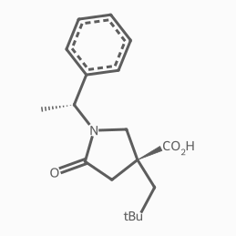 C[C@H](c1ccccc1)N1C[C@@](CC(C)(C)C)(C(=O)O)CC1=O